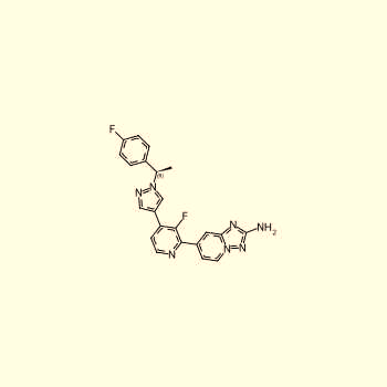 C[C@H](c1ccc(F)cc1)n1cc(-c2ccnc(-c3ccn4nc(N)nc4c3)c2F)cn1